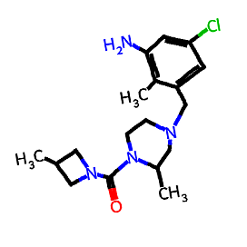 Cc1c(N)cc(Cl)cc1CN1CCN(C(=O)N2CC(C)C2)C(C)C1